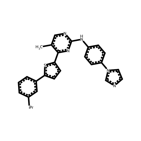 Cc1cnc(Nc2ccc(-n3ccnc3)cc2)nc1-c1ccc(-c2cccc(C(C)C)c2)s1